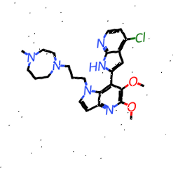 COc1nc2ccn(CCCN3CCCN(C)CC3)c2c(-c2cc3c(Cl)ccnc3[nH]2)c1OC